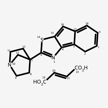 C1=CCC2=c3nc(C45CCN(CC4)C5)sc3=CC2=C1.O=C(O)C=CC(=O)O